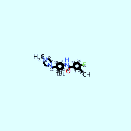 C#Cc1cc(C(=O)Nc2ccc(CN3CCN(C)CC3)c(C(C)(C)C)c2)ccc1F